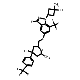 CC1CC(O)(c2ccc(C(F)(F)F)cc2)CC(COc2cc(C(F)(F)F)c3c(c2)c(F)nn3C2CC(C)(O)C2)N1